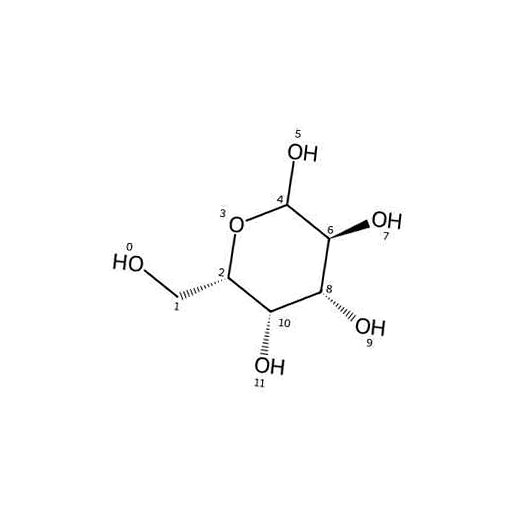 OC[C@@H]1OC(O)[C@@H](O)[C@H](O)[C@@H]1O